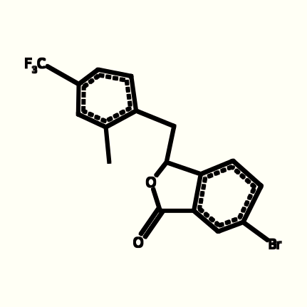 Cc1cc(C(F)(F)F)ccc1CC1OC(=O)c2cc(Br)ccc21